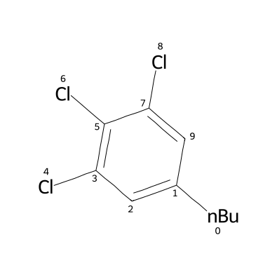 CCCCc1cc(Cl)c(Cl)c(Cl)c1